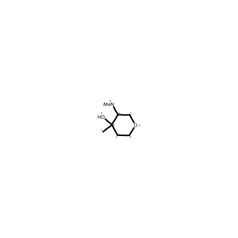 C[N]C1COCCC1(C)O